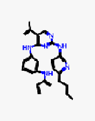 C=CC(=C)Nc1cccc(Nc2nc(Nc3ccc(CCCC)nc3)ncc2C(=C)C)c1